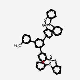 Cc1cccc(-c2cc(-c3cccc(P4(=S)Sc5ccccc5N4c4ccccc4)c3)cc(-c3cccc(P4(=S)Sc5ccccc5N4c4ccccc4)c3)c2)c1